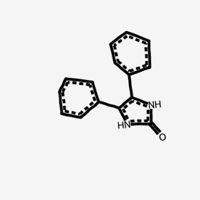 O=c1[nH]c(-c2ccccc2)c(-c2ccccc2)[nH]1